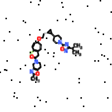 Cc1nc2c(o1)CCN(C(=O)CC1=C(F)C=CC(OCC[C@@H]3CC3C3CCN(c4nc(C(C)C)no4)CC3)C=C1)C2